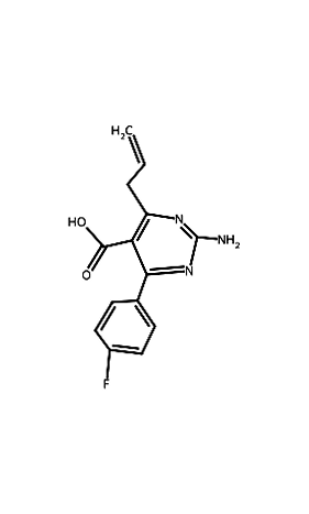 C=CCc1nc(N)nc(-c2ccc(F)cc2)c1C(=O)O